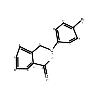 CCc1ccc(OCc2ccccc2C(=O)I)cc1